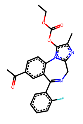 CCOC(=O)Oc1c(C)nc2n1-c1ccc(C(C)=O)cc1C(c1ccccc1F)=NC2